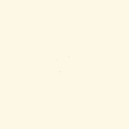 CCc1cccc2nc(-c3ccc(F)cc3F)c(NC3CCCC3)n12